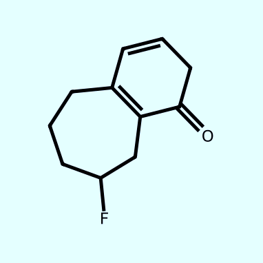 O=C1CC=CC2=C1CC(F)CCC2